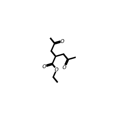 CCOC(=O)C(CC(C)=O)CC(C)=O